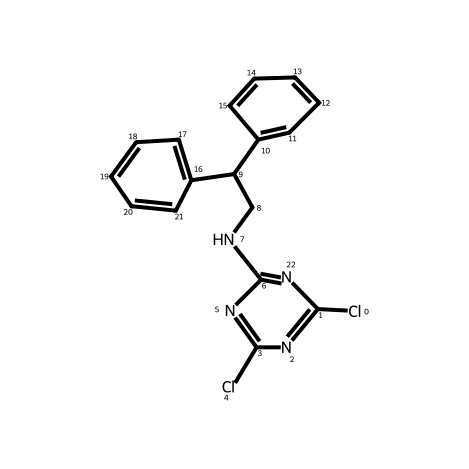 Clc1nc(Cl)nc(NCC(c2ccccc2)c2ccccc2)n1